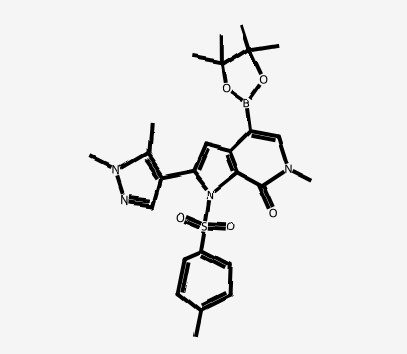 Cc1ccc(S(=O)(=O)n2c(-c3cnn(C)c3C)cc3c(B4OC(C)(C)C(C)(C)O4)cn(C)c(=O)c32)cc1